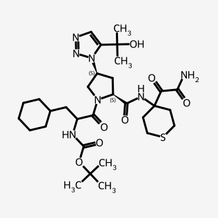 CC(C)(C)OC(=O)NC(CC1CCCCC1)C(=O)N1C[C@@H](n2nncc2C(C)(C)O)C[C@H]1C(=O)NC1(C(=O)C(N)=O)CCSCC1